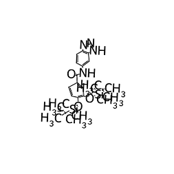 CC(C)(C)[Si](C)(C)Oc1ccc(C(=O)Nc2ccc3nn[nH]c3c2)cc1O[Si](C)(C)C(C)(C)C